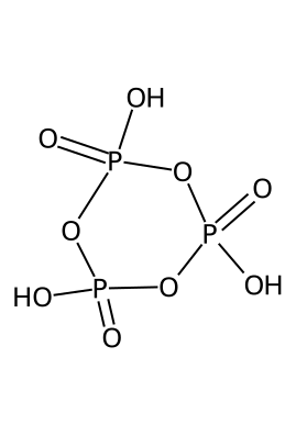 O=P1(O)OP(=O)(O)OP(=O)(O)O1